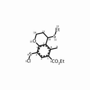 CCOC(=O)c1cc(SCl)c2c(c1C)C(SCC)CCO2